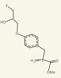 COC(=O)[C@@H](N)Cc1ccc(OCC(O)CF)cc1